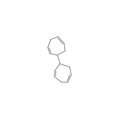 C1=CCC(C2C=CCC=CC2)C=CC1